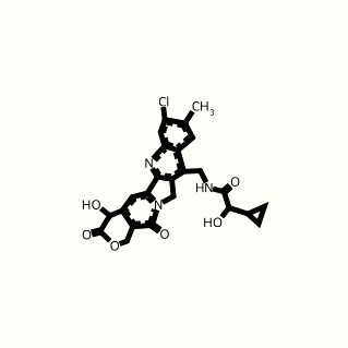 Cc1cc2c(CNC(=O)C(O)C3CC3)c3c(nc2cc1Cl)-c1cc2c(c(=O)n1C3)COC(=O)C2O